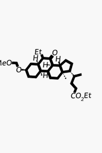 CCOC(=O)CCC(C)[C@H]1CC[C@H]2[C@@H]3C(=O)C(CC)[C@@H]4C[C@H](OCOC)CC[C@]4(C)[C@H]3CC[C@]12C